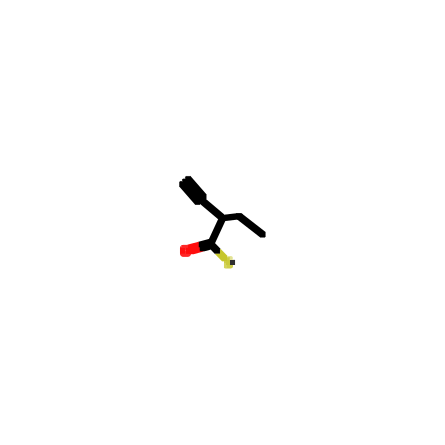 C#CC(CC)C(=O)[S]